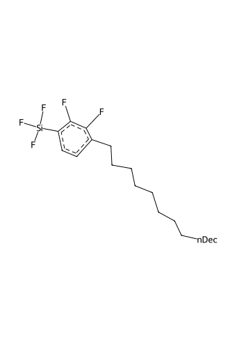 CCCCCCCCCCCCCCCCCCc1ccc([Si](F)(F)F)c(F)c1F